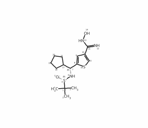 CC(C)(C)[S@+]([O-])N[C@@H](c1cc(C(=N)NO)cs1)C1CCCC1